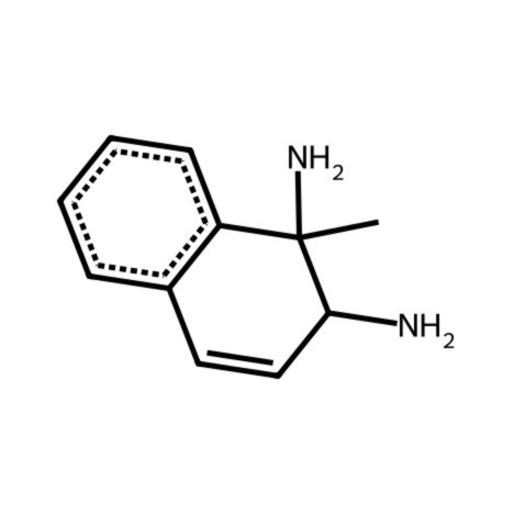 CC1(N)c2ccccc2C=CC1N